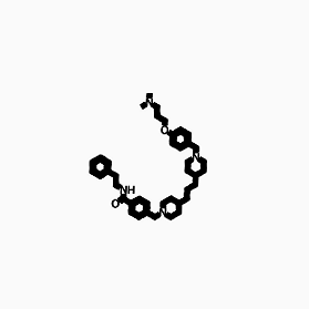 CN(C)CCCOc1ccc(CN2CCC(CCCC3CCN(Cc4ccc(C(=O)NCCc5ccccc5)cc4)CC3)CC2)cc1